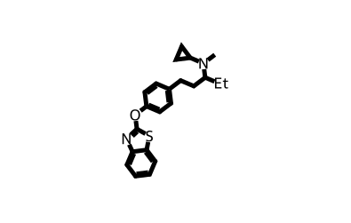 CCC(CCc1ccc(Oc2nc3ccccc3s2)cc1)N(C)C1CC1